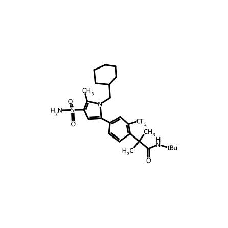 Cc1c(S(N)(=O)=O)cc(-c2ccc(C(C)(C)C(=O)NC(C)(C)C)c(C(F)(F)F)c2)n1CC1CCCCC1